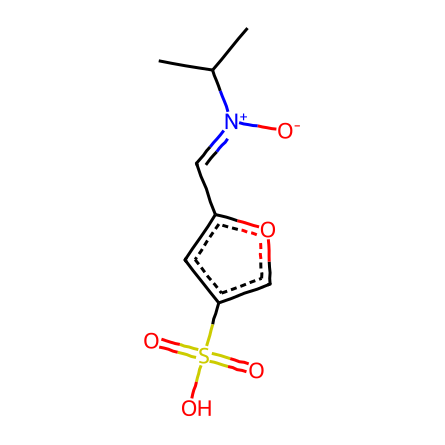 CC(C)[N+]([O-])=Cc1cc(S(=O)(=O)O)co1